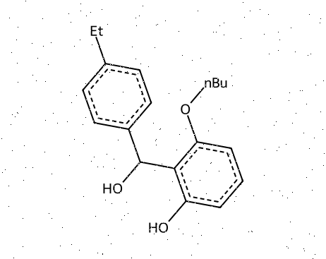 CCCCOc1cccc(O)c1C(O)c1ccc(CC)cc1